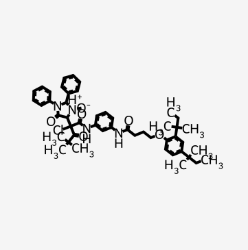 CCC(C)(C)c1ccc(OCCCC(=O)Nc2cccc(NC(=O)C(Cl)(C(=O)C(C)(C)C)C3C(=O)N(c4ccccc4)C(c4ccccc4)[NH+]3[O-])c2)c(C(C)(C)CC)c1